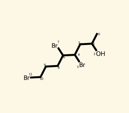 CC(O)CC(Br)C(Br)CCCBr